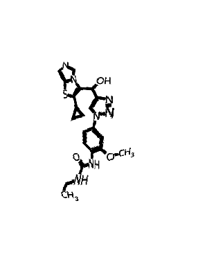 CCNC(=O)Nc1ccc(-n2cc(C(O)c3c(C4CC4)sc4cncn34)nn2)cc1OC